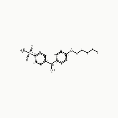 CCCCCOc1ccc(C(O)c2ccc(S(N)(=O)=O)cc2)cc1